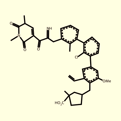 C=Cc1cc(-c2cccc(-c3cccc(CC(=N)C(=O)C4=CC(C)C(=O)N(C)C4=O)c3C)c2Cl)cc(OC)c1CC1CCC(C)(C(=O)O)C1